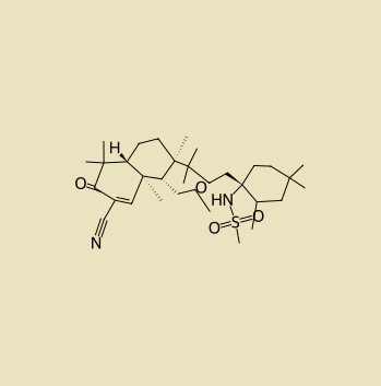 CC(=O)C[C@@H]1[C@@]2(C)C=C(C#N)C(=O)C(C)(C)[C@@H]2CC[C@@]1(C)C(C)(C)CC[C@@]1(NS(C)(=O)=O)CCC(C)(C)CC1C